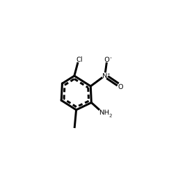 Cc1ccc(Cl)c([N+](=O)[O-])c1N